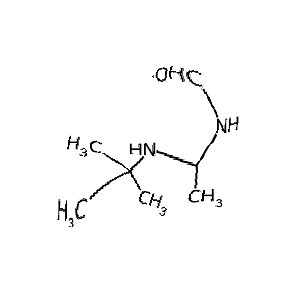 CC(N[C]=O)NC(C)(C)C